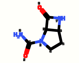 NC(=O)N1CCC2NC(=O)C21